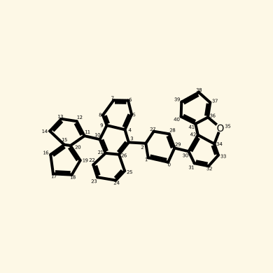 C1=CC(c2c3ccccc3c(-c3cccc4ccccc34)c3ccccc23)CC=C1c1cccc2oc3ccccc3c12